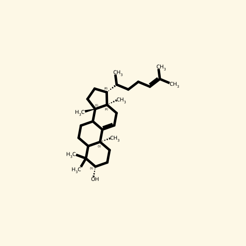 CC(C)=CCCC(C)[C@H]1CC[C@@]2(C)C3CCC4C(C)(C)[C@@H](O)CC[C@]4(C)C3=CC[C@]12C